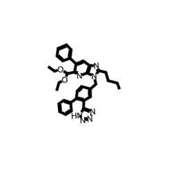 CCCCc1nc2cc(-c3ccccc3)c(C(OCC)OCC)nc2n1Cc1ccc(-c2ccccc2)c(-c2nnn[nH]2)c1